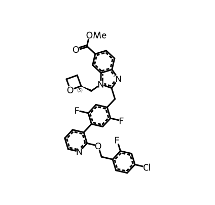 COC(=O)c1ccc2nc(Cc3cc(F)c(-c4cccnc4OCc4ccc(Cl)cc4F)cc3F)n(C[C@@H]3CCO3)c2c1